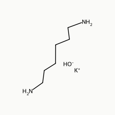 NCCCCCCN.[K+].[OH-]